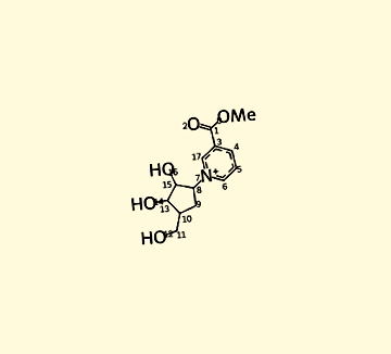 COC(=O)c1ccc[n+](C2CC(CO)C(O)C2O)c1